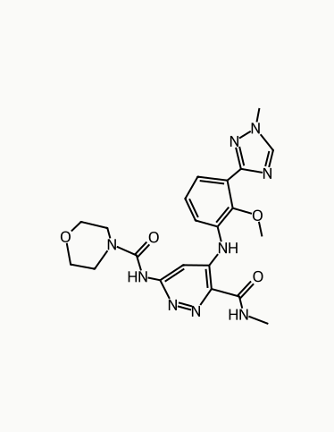 CNC(=O)c1nnc(NC(=O)N2CCOCC2)cc1Nc1cccc(-c2ncn(C)n2)c1OC